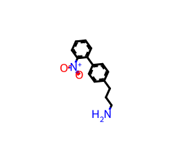 NCCCc1ccc(-c2ccccc2[N+](=O)[O-])cc1